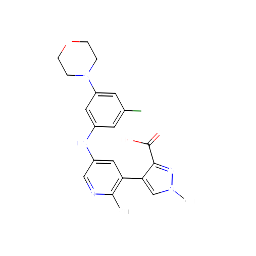 Cc1ncc(Nc2cc(F)cc(N3CCOCC3)c2)cc1-c1cn(C)nc1C(=O)O